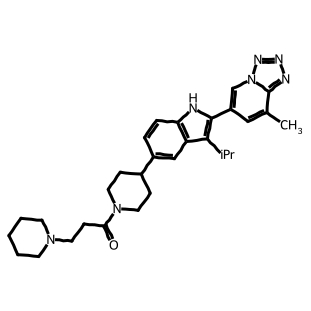 Cc1cc(-c2[nH]c3ccc(C4CCN(C(=O)CCN5CCCCC5)CC4)cc3c2C(C)C)cn2nnnc12